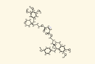 COc1ccc(C[C@@H]2c3cc(OC)c(OC)cc3CC[N@@+]2(C)CCCOC(=O)/C=C\C(=O)OCCC[N+]2(Cc3cc(OC)c(OC)c(OC)c3)CCOCC2)cc1